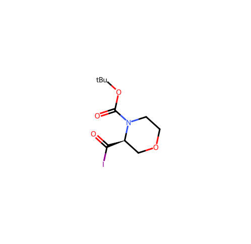 CC(C)(C)OC(=O)N1CCOC[C@H]1C(=O)I